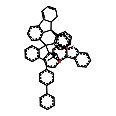 C1=CCC2C(=C1)c1cccc3c1C2(c1ccccc1)c1ccccc1C3(c1ccccc1)c1ccccc1N(c1ccc(-c2ccccc2)cc1)c1ccc2sc3ccccc3c2c1